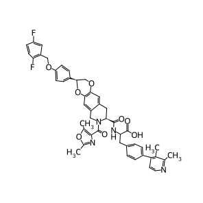 Cc1nc(C(=O)N2Cc3cc4c(cc3C[C@H]2C(=O)NC(Cc2ccc(-c3ccnc(C)c3C)cc2)C(=O)O)OC[C@H](c2ccc(OCc3cc(F)ccc3F)cc2)O4)c(C)o1